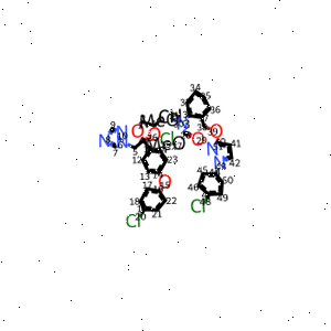 CC1COC(Cn2cncn2)(c2ccc(Oc3ccc(Cl)cc3)cc2Cl)O1.COC(=O)N(OC)c1ccccc1COc1ccn(-c2ccc(Cl)cc2)n1